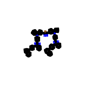 c1ccc2c(-c3ccc(-c4nc(-c5ccc(-n6c7ccccc7c7ccc(-c8nnc(-c9ccc%10c%11ccccc%11n(-c%11ccc(-c%12nc(-c%13ccc(-c%14cccc%15ccccc%14%15)cc%13)c%13ccccc%13n%12)cc%11)c%10c9)s8)cc76)cc5)nc5ccccc45)cc3)cccc2c1